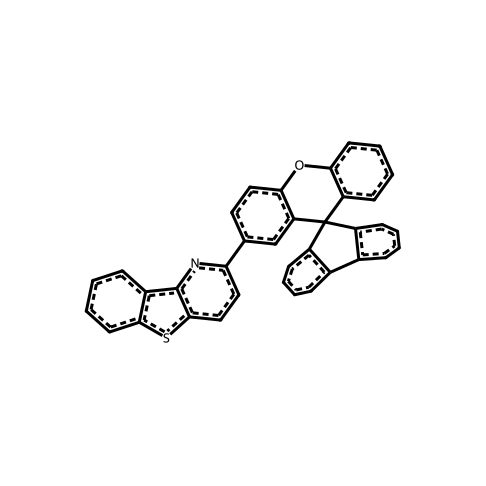 c1ccc2c(c1)Oc1ccc(-c3ccc4sc5ccccc5c4n3)cc1C21c2ccccc2-c2ccccc21